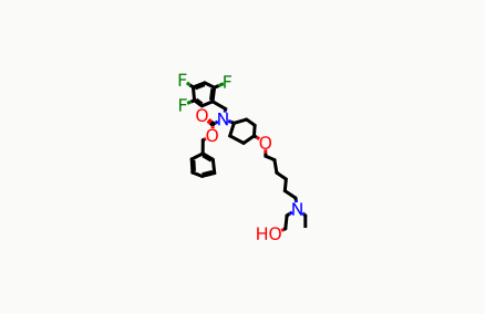 CCN(CCO)CCCCCCOC1CCC(N(Cc2cc(F)c(F)cc2F)C(=O)OCc2ccccc2)CC1